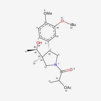 COc1ccc([C@@H]2CN(C(=O)C(C)OC(C)=O)C[C@@]2(C)[C@@H](C)O)cc1OC(C)(C)C